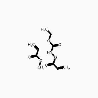 C=CC(=O)OC.C=CC(=O)ONC(=O)OCC